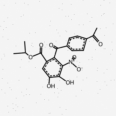 CC(=O)c1ccc(C(=O)c2c(C(=O)OC(C)C)cc(O)c(O)c2[N+](=O)[O-])cc1